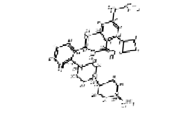 COc1cc(C2CCC2)c2c(=O)oc(-c3cccnc3N3CCN(C4CCN(C)CC4)CC3)nc2c1